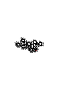 c1ccc(C(c2cccc3c2oc2ccccc23)c2ccc(N(c3ccccc3)c3cccc4c3sc3ccccc34)c3oc4ccc5ccccc5c4c23)cc1